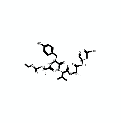 CCOC(=O)N[C@@H](C)C(=O)N[C@@H](Cc1ccc(O)cc1)C(=O)N[C@H](C(=O)N[C@@H](C)C(=O)N[C@H](C=O)CC(=O)O)C(C)C